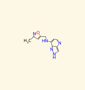 Cc1cc(CNc2ccnc3c[nH]nc23)on1